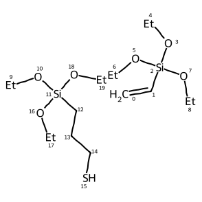 C=C[Si](OCC)(OCC)OCC.CCO[Si](CCCS)(OCC)OCC